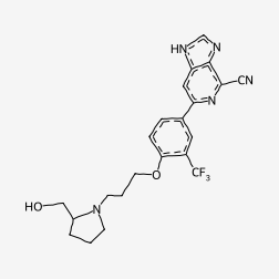 N#Cc1nc(-c2ccc(OCCCN3CCCC3CO)c(C(F)(F)F)c2)cc2[nH]cnc12